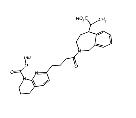 CC(C(=O)O)C1CCN(C(=O)CCCc2ccc3c(n2)N(C(=O)OC(C)(C)C)CCC3)Cc2ccccc21